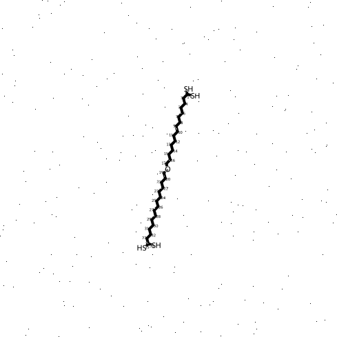 SC(S)CCCCCCCCCCCCCCCOCCCCCCCCCCCCCCCC(S)S